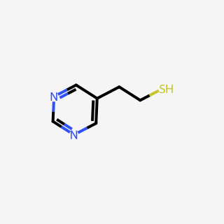 SCCc1cncnc1